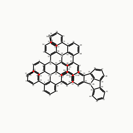 Brc1ccc2c(c1)N(c1c(-c3ccccc3)cccc1-c1ccccc1)c1cc(-c3ccc4c(c3)c3cccc5c6ccccc6n4c53)cc3c1B2c1ccc(Br)cc1N3c1c(-c2ccccc2)cccc1-c1ccccc1